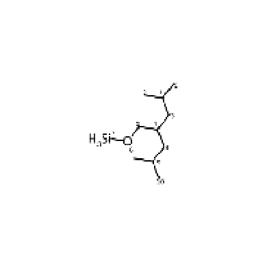 CC(C)CC(CO[SiH3])CC(C)C